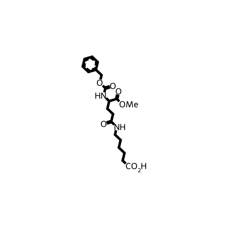 COC(=O)C(CCC(=O)NCCCCCC(=O)O)NC(=O)OCc1ccccc1